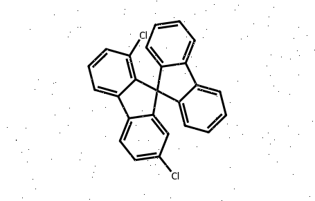 Clc1ccc2c(c1)C1(c3ccccc3-c3ccccc31)c1c(Cl)cccc1-2